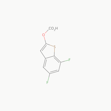 O=C(O)Oc1cc2cc(F)cc(F)c2s1